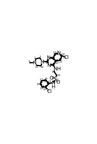 CN1CCN(c2nc(NCCS(=O)(=O)Nc3ccccc3Cl)c3cc(Cl)ncc3n2)CC1